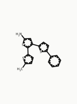 Cc1ccc(-c2sc(N)cc2-c2ccc(-c3ccccc3)s2)s1